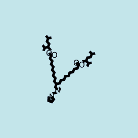 CC(C)CCC(COC(=O)CCCCCCCCCC(CCCCCCCCCC(=O)OCC(CCC(C)C)C(C)C)CN(C)CCn1cccc1)C(C)C